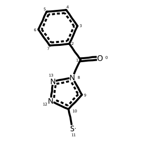 O=C(c1ccccc1)n1cc([S])nn1